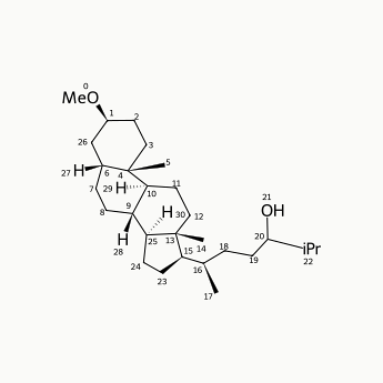 CO[C@H]1CC[C@@]2(C)[C@H](CC[C@@H]3[C@@H]2CC[C@]2(C)[C@@H]([C@H](C)CCC(O)C(C)C)CC[C@@H]32)C1